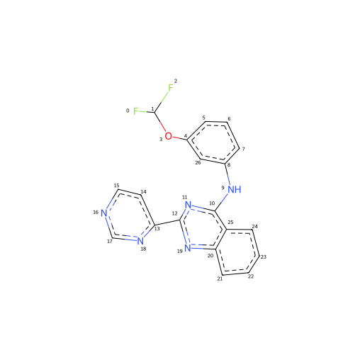 FC(F)Oc1cccc(Nc2nc(-c3ccncn3)nc3ccccc23)c1